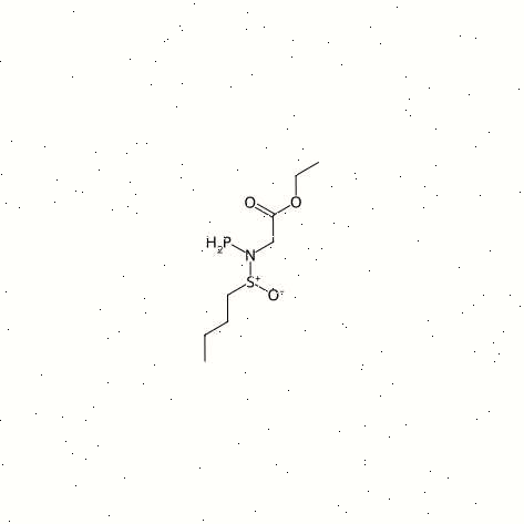 CCCC[S+]([O-])N(P)CC(=O)OCC